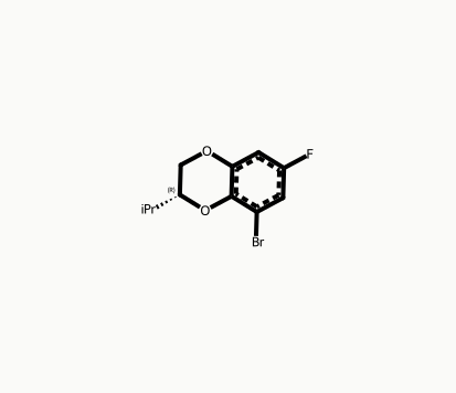 CC(C)[C@@H]1COc2cc(F)cc(Br)c2O1